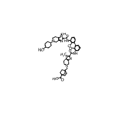 Cn1c(C(=O)Nc2cccc(-c3cccc(NC(=O)c4nc5c(n4C)CCN(C4CCC(O)CC4)C5)c3Cl)c2Cl)nc2c1CCN(CC13CCC(C(=O)O)(CC1)C3)C2